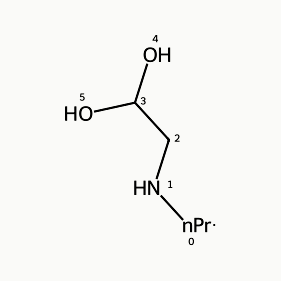 CC[CH]NCC(O)O